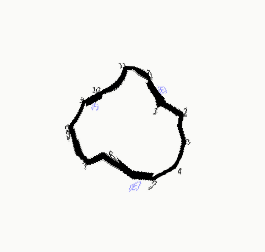 [C]1=C/CCC/C=C/CC/C=C/C/1